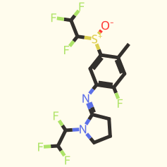 Cc1cc(F)c(N=C2CCCN2C(F)C(F)F)cc1[S+]([O-])C(F)C(F)F